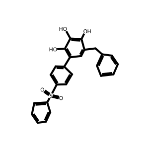 O=S(=O)(c1ccccc1)c1ccc(-c2cc(Cc3ccccc3)c(O)c(O)c2O)cc1